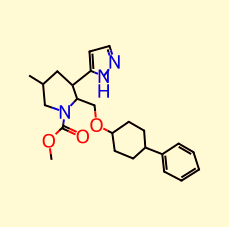 COC(=O)N1CC(C)CC(c2ccn[nH]2)C1COC1CCC(c2ccccc2)CC1